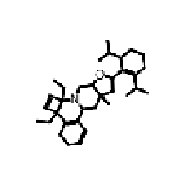 CCC12C=CC1(CC)N1CC3OC(C4=C(C(C)C)CCCC4C(C)C)CC3(C)CC1C1=C2CCC=C1